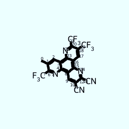 Cc1cc2c(nc1C(F)(F)F)c1cc(C#N)c(C#N)nc1c1cc(C(F)(F)F)c(C(F)(F)F)nc12